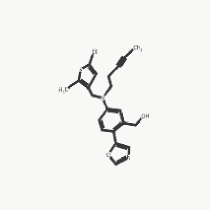 CC#CCCN(Cc1cc(CC)sc1C)c1ccc(-c2cnco2)c(CO)c1